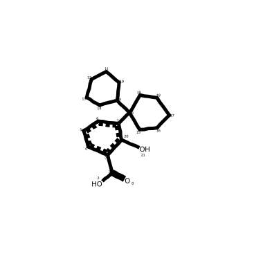 O=C(O)c1cccc(C2(C3CCCCC3)CCCCC2)c1O